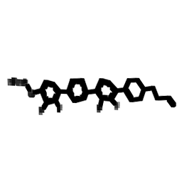 C=CCCC1CC=C(c2ccc(-c3ccc(-c4ccc(OCCCCC)c(F)c4F)cc3)c(F)c2F)CC1